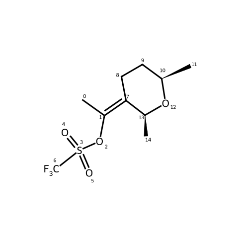 C/C(OS(=O)(=O)C(F)(F)F)=C1\CC[C@@H](C)O[C@H]1C